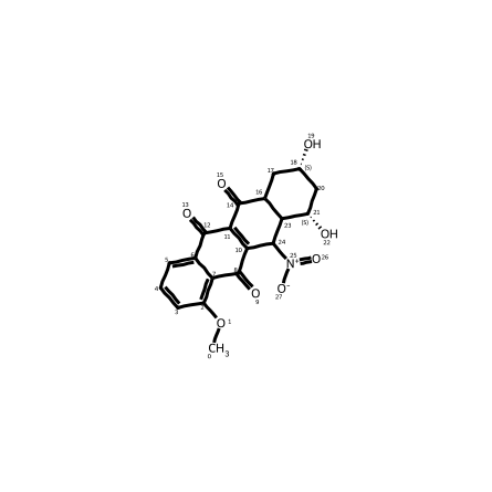 COc1cccc2c1C(=O)C1=C(C2=O)C(=O)C2C[C@H](O)C[C@H](O)C2C1[N+](=O)[O-]